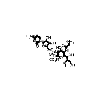 NCC(=O)N[C@H]1C([C@H](O)C(O)CO)O[C@](OP(=O)(O)OCC2O[C@@H](n3ccc(N)nc3=O)[C@@H](O)C2O)(C(=O)O)C[C@H]1O